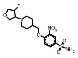 NS(=O)(=O)c1ccc(OCC2CCN(C3COCC3F)CC2)c([N+](=O)[O-])c1